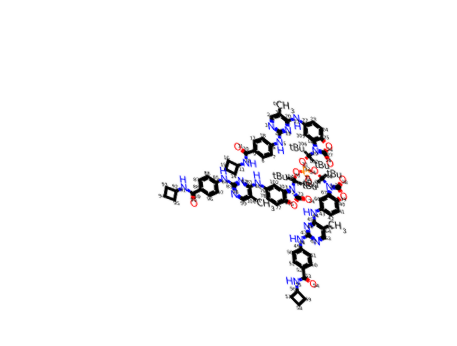 Cc1cnc(Nc2ccc(C(=O)NC3CCC3)cc2)nc1Nc1ccc2oc(=O)n(C(OP(=O)(OC(n3c(=O)oc4ccc(Nc5nc(Nc6ccc(C(=O)NC7CCC7)cc6)ncc5C)cc43)(C(C)(C)C)C(C)(C)C)OC(n3c(=O)oc4ccc(Nc5nc(Nc6ccc(C(=O)NC7CCC7)cc6)ncc5C)cc43)(C(C)(C)C)C(C)(C)C)(C(C)(C)C)C(C)(C)C)c2c1